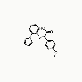 COc1ccc(C(Sc2ccccc2-n2cccc2)C(=O)O)cc1